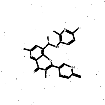 C=C1C=CC(c2oc3c([C@@H](C)Nc4ccc(Cl)nc4C)cc(C)cc3c(=O)c2C)=CN1